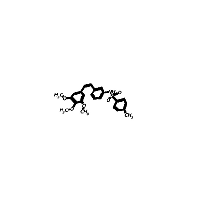 COc1cc(/C=C\c2cccc(NS(=O)(=O)c3ccc(C)cc3)c2)cc(OC)c1OC